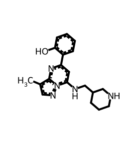 Cc1cnn2c(NCC3CCCNC3)cc(-c3ccccc3O)nc12